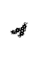 COc1ccc2c(c1)C[C@H]1[C@H](c3cccc(O[Si](C)(C)C(C)(C)C)c3)c3cc(OC)ccc3C[C@@H]21